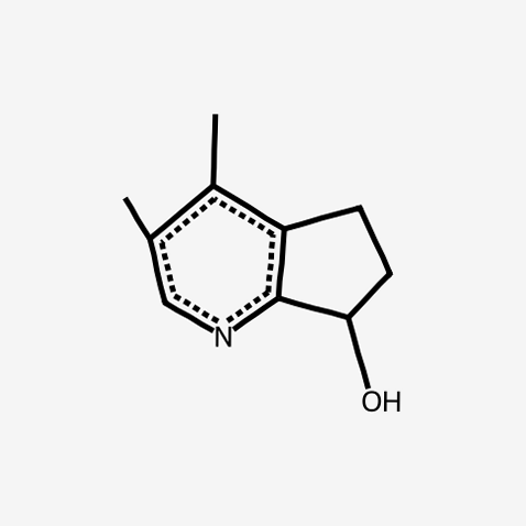 Cc1cnc2c(c1C)CCC2O